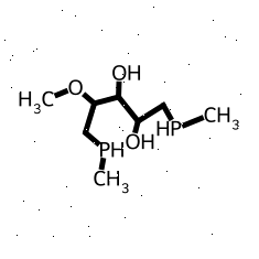 COC(CPC)C(O)C(O)CPC